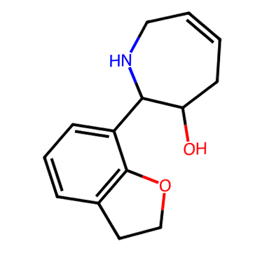 OC1CC=CCNC1c1cccc2c1OCC2